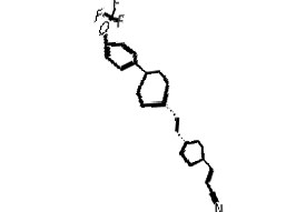 N#C/C=C/[C@H]1CC[C@H](CC[C@H]2CC[C@H](c3ccc(OC(F)(F)F)cc3)CC2)CC1